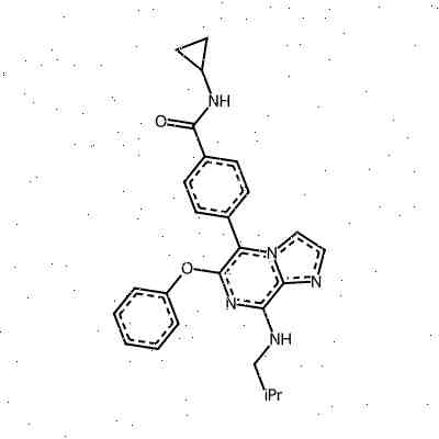 CC(C)CNc1nc(Oc2ccccc2)c(-c2ccc(C(=O)NC3CC3)cc2)n2ccnc12